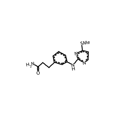 CSc1ccnc(Nc2cccc(CCC(N)=O)c2)n1